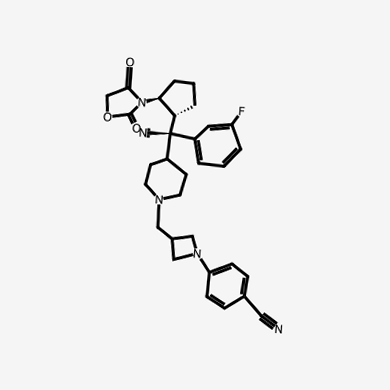 N#Cc1ccc(N2CC(CN3CCC([C@@](C#N)(c4cccc(F)c4)[C@H]4CCC[C@@H]4N4C(=O)COC4=O)CC3)C2)cc1